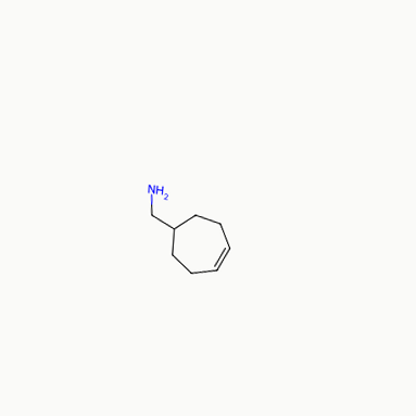 NCC1CCC=CCC1